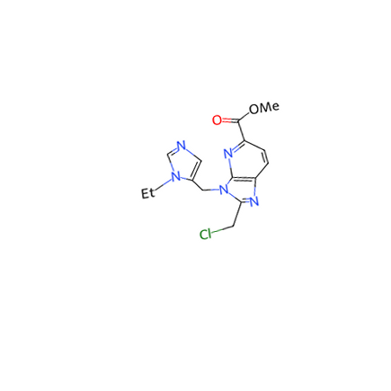 CCn1cncc1Cn1c(CCl)nc2ccc(C(=O)OC)nc21